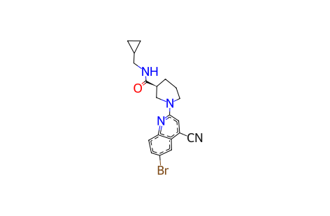 N#Cc1cc(N2CCC[C@H](C(=O)NCC3CC3)C2)nc2ccc(Br)cc12